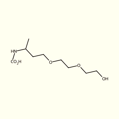 CC(CCOCCOCCO)NC(=O)O